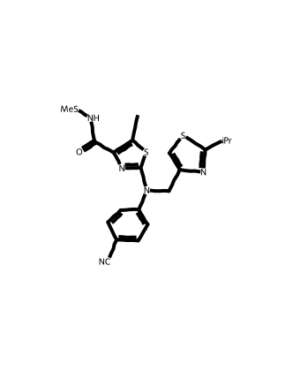 CSNC(=O)c1nc(N(Cc2csc(C(C)C)n2)c2ccc(C#N)cc2)sc1C